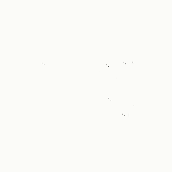 CC(=O)Nc1nc(C=Cc2ccc([N+](=O)[O-])cc2)c(CN2CCNC(=O)C2)s1